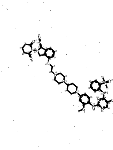 COc1cc(N2CCC(N3CCN(CCOc4cccc5c4CN(N4C(=O)CCCC4=O)C5=C=O)CC3)CC2)ccc1Nc1ncc(Cl)c(Nc2ccccc2P(C)(C)=O)n1